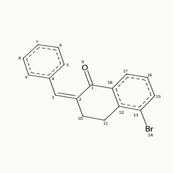 O=C1C(=Cc2ccccc2)CCc2c(Br)cccc21